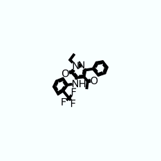 CCn1nc(-c2ccccc2)c(C(C)=O)c(Nc2ccccc2C(F)(F)F)c1=O